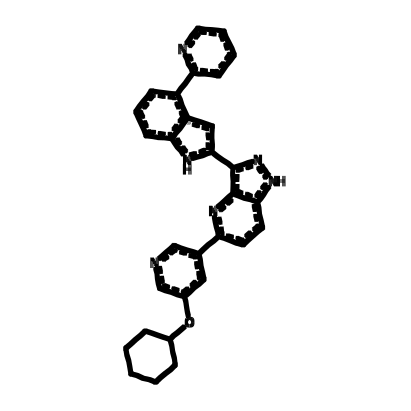 c1ccc(-c2cccc3[nH]c(-c4n[nH]c5ccc(-c6cncc(OC7CCCCC7)c6)nc45)cc23)nc1